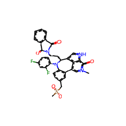 Cn1cc2c3c(c[nH]c3c1=O)C(CCN1C(=O)c3ccccc3C1=O)N(c1ccc(F)cc1F)c1ccc(CS(C)(=O)=O)cc1-2